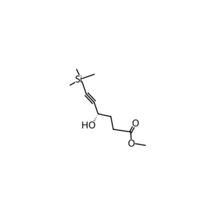 COC(=O)CC[C@H](O)C#C[Si](C)(C)C